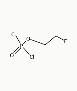 O=P(Cl)(Cl)OCCF